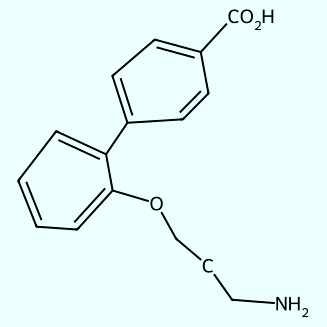 NCCCOc1ccccc1-c1ccc(C(=O)O)cc1